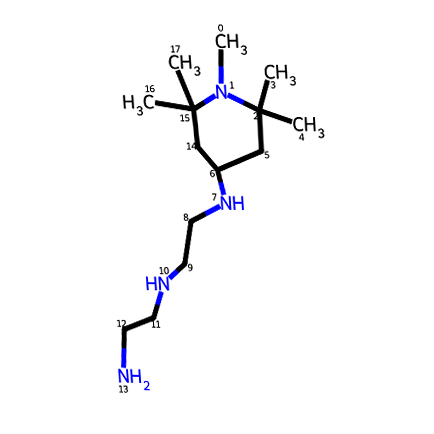 CN1C(C)(C)CC(NCCNCCN)CC1(C)C